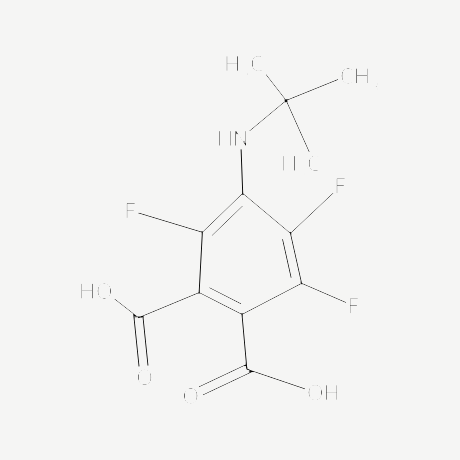 CC(C)(C)Nc1c(F)c(F)c(C(=O)O)c(C(=O)O)c1F